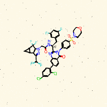 O=C(Cn1nc(C(F)F)c2c1C(F)(F)C1CC21)N[C@@H](Cc1cc(F)cc(F)c1)c1nc2cc(-c3ccc(Cl)cc3Cl)ccc2c(=O)n1-c1ccc(S(=O)(=O)N2CCOCC2)cc1